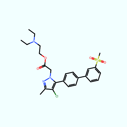 CCN(CC)CCOC(=O)Cn1nc(C)c(Cl)c1-c1ccc(-c2cccc(S(C)(=O)=O)c2)cc1